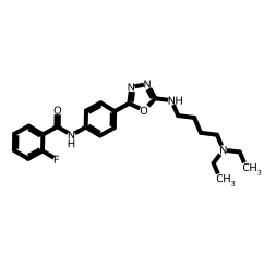 CCN(CC)CCCCNc1nnc(-c2ccc(NC(=O)c3ccccc3F)cc2)o1